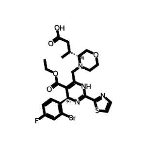 CCOC(=O)C1=C(CN2CCOC[C@H]2C(C)CC(=O)O)NC(c2nccs2)=N[C@H]1c1ccc(F)cc1Br